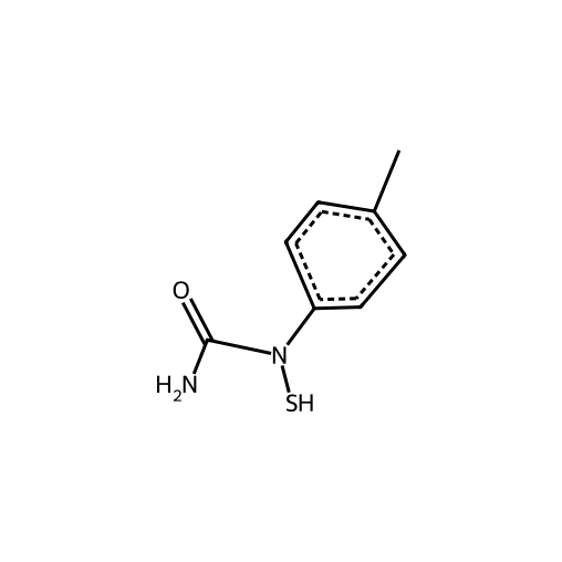 Cc1ccc(N(S)C(N)=O)cc1